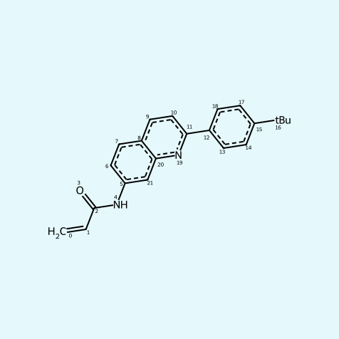 C=CC(=O)Nc1ccc2ccc(-c3ccc(C(C)(C)C)cc3)nc2c1